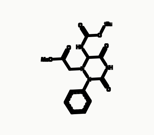 COC(=O)CN1C(NC(=O)OC(C)(C)C)C(=O)NC(=O)N1c1ccccc1